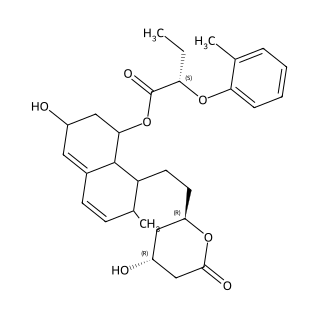 CC[C@H](Oc1ccccc1C)C(=O)OC1CC(O)C=C2C=CC(C)C(CC[C@@H]3C[C@@H](O)CC(=O)O3)C21